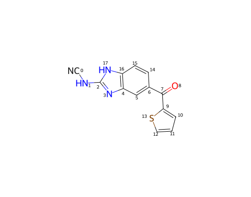 N#CNc1nc2cc(C(=O)c3cccs3)ccc2[nH]1